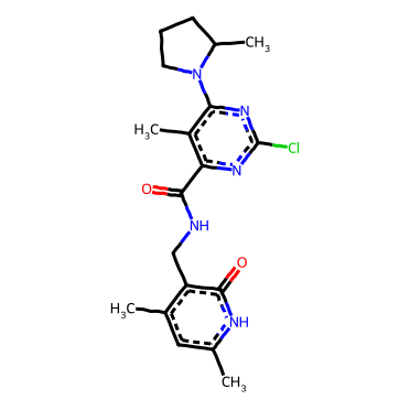 Cc1cc(C)c(CNC(=O)c2nc(Cl)nc(N3CCCC3C)c2C)c(=O)[nH]1